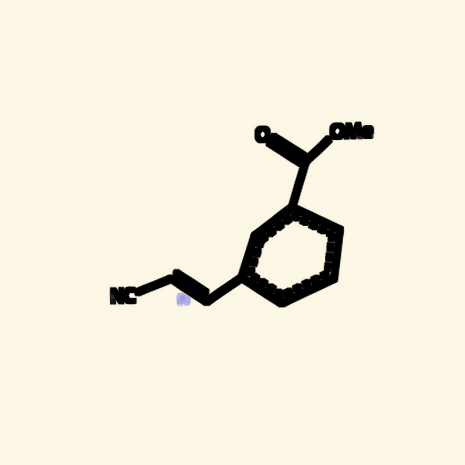 COC(=O)c1cccc(/C=C/C#N)c1